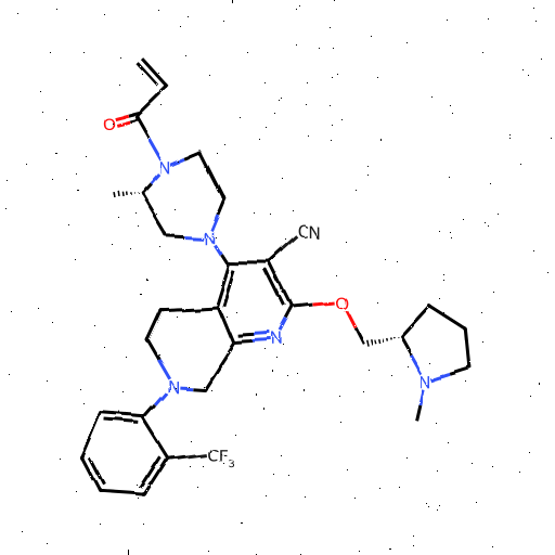 C=CC(=O)N1CCN(c2c(C#N)c(OC[C@@H]3CCCN3C)nc3c2CCN(c2ccccc2C(F)(F)F)C3)C[C@@H]1C